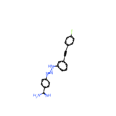 N=C(N)c1ccc(/N=N/Nc2cccc(C#Cc3ccc(F)cc3)c2)cc1